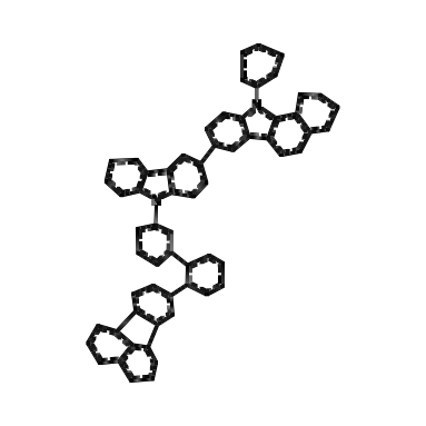 c1ccc(-n2c3ccc(-c4ccc5c(c4)c4ccccc4n5-c4cccc(-c5ccccc5-c5ccc6c(c5)-c5cccc7cccc-6c57)c4)cc3c3ccc4ccccc4c32)cc1